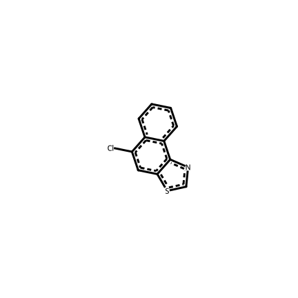 Clc1cc2scnc2c2ccccc12